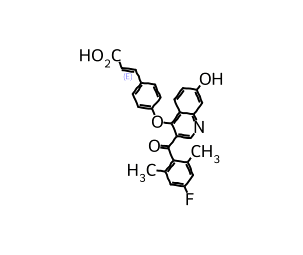 Cc1cc(F)cc(C)c1C(=O)c1cnc2cc(O)ccc2c1Oc1ccc(/C=C/C(=O)O)cc1